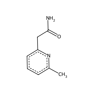 Cc1cccc(CC(N)=O)n1